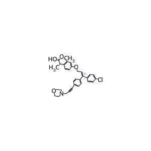 Cc1cc(OC/C=C(/c2ccc(Cl)cc2)c2ccc(C#CCN3CCOCC3)cc2)ccc1C(C)C(=O)O